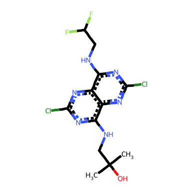 CC(C)(O)CNc1nc(Cl)nc2c(NCC(F)F)nc(Cl)nc12